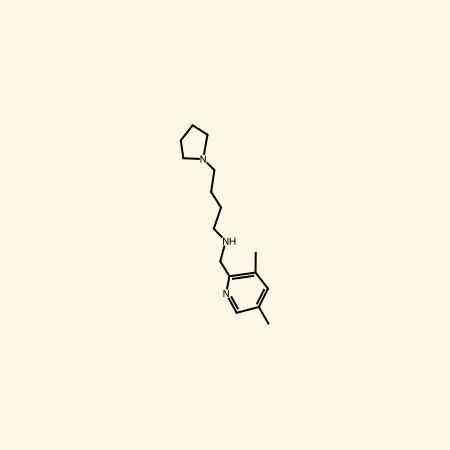 Cc1cnc(CNCCCCN2CCCC2)c(C)c1